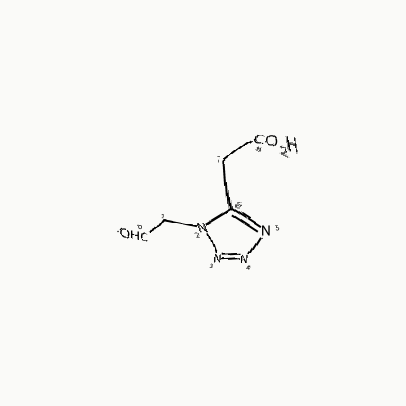 O=[C]Cn1nnnc1CC(=O)O